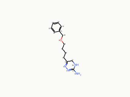 NC1=NN=C(CCCCOCc2ccccc2)CN1